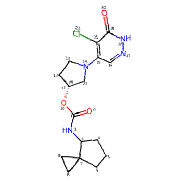 O=C(NC1CCCC12CC2)O[C@@H]1CCN(c2cn[nH]c(=O)c2Cl)C1